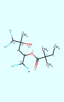 CCC(C)(C)C(=O)OC(CC(C)(O)C(F)F)C(F)F